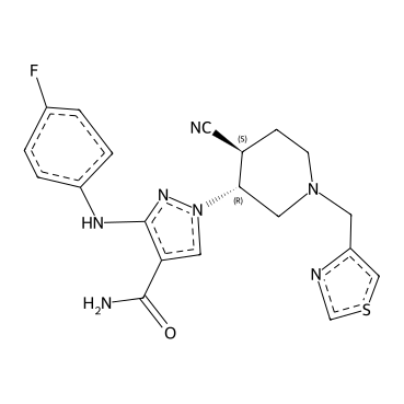 N#C[C@H]1CCN(Cc2cscn2)C[C@@H]1n1cc(C(N)=O)c(Nc2ccc(F)cc2)n1